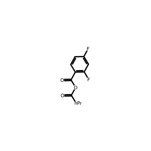 CCCC(=O)OC(=O)c1ccc(F)cc1F